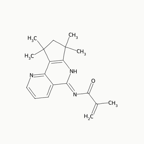 C=C(C)C(=O)/N=c1\[nH]c2c(c3ncccc13)C(C)(C)CC2(C)C